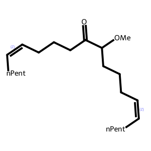 CCCCC/C=C\CCCC(=O)C(CCC/C=C\CCCCC)OC